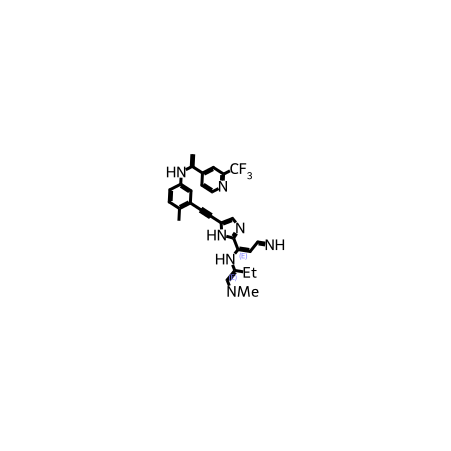 C=C(Nc1ccc(C)c(C#Cc2cnc(/C(=C\C=N)N/C(=C/NC)CC)[nH]2)c1)c1ccnc(C(F)(F)F)c1